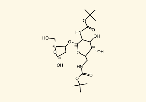 CC(C)(C)OC(=O)NCC1O[C@H](OC2C[C@H](O)O[C@@H]2CO)C(NC(=O)OC(C)(C)C)C(O)[C@@H]1O